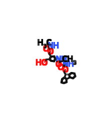 CNC(=O)OCc1cc(NC(=O)[C@H](C)NC(=O)OCC2c3ccccc3-c3ccccc32)ccc1CO